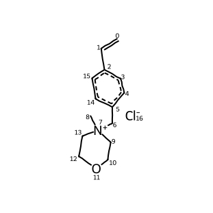 C=Cc1ccc(C[N+]2(C)CCOCC2)cc1.[Cl-]